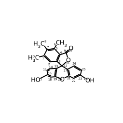 Cc1cc2c(c(C)c1C)C(=O)OC21c2ccc(O)cc2Oc2cc(O)ccc21